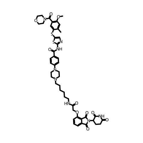 COc1cc(C)c(Sc2cnc(NC(=O)c3ccc(N4CCN(CCCCCCNC(=O)COc5cccc6c5C(=O)N(C5CCC(=O)NC5=O)C6=O)CC4)cc3)s2)cc1C(=O)N1CCOCC1